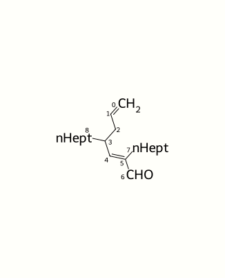 C=CCC(C=C(C=O)CCCCCCC)CCCCCCC